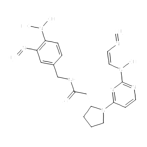 C=N/C=C\N(C)c1nccc(N2CCC[C@@H]2CC(=O)NCc2ccc(N(C)C)c(N=C)c2)n1